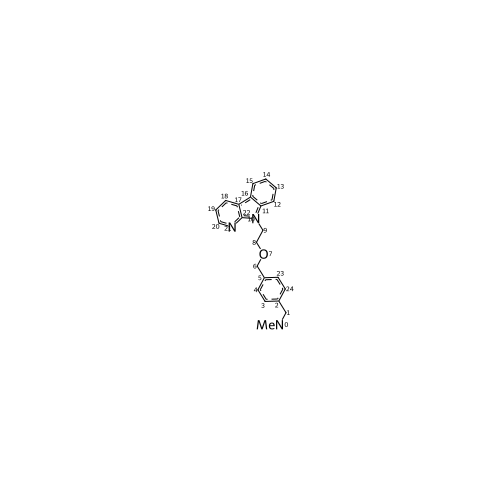 CNCc1ccc(COCCn2c3ccccc3c3cccnc32)cc1